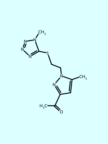 CC(=O)c1cc(C)n(CCSc2nnnn2C)n1